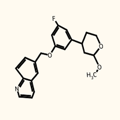 COC1CC(c2cc(F)cc(OCc3ccc4ncccc4c3)c2)CCO1